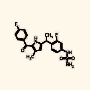 Cc1cc(C(C)c2ccc(NS(N)(=O)=O)cc2F)[nH]c1C(=O)c1ccc(F)cc1